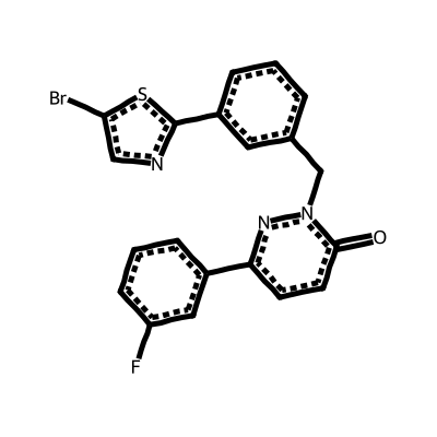 O=c1ccc(-c2cccc(F)c2)nn1Cc1cccc(-c2ncc(Br)s2)c1